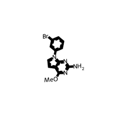 COc1nc(N)nc2c1ccn2-c1cccc(Br)c1